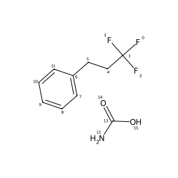 FC(F)(F)CCc1ccccc1.NC(=O)O